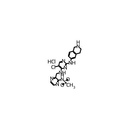 CS(=O)(=O)Nc1nccnc1CNc1nc(Nc2ccc3c(c2)CCNC3)ncc1Cl.Cl